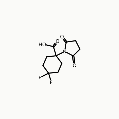 O=C1CCC(=O)N1C1(C(=O)O)CCC(F)(F)CC1